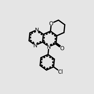 O=c1c2c(c3nccnc3n1-c1cccc(Cl)c1)OCCC2